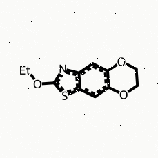 CCOc1nc2cc3c(cc2s1)OCCO3